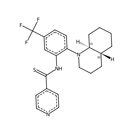 FC(F)(F)c1ccc(N2CCC[C@H]3CCCC[C@@H]32)c(NC(=S)c2ccncc2)c1